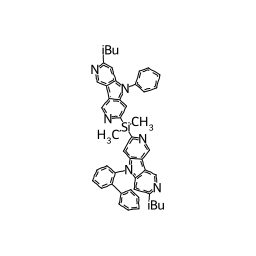 CCC(C)c1cc2c(cn1)c1cnc([Si](C)(C)c3cc4c(cn3)c3cnc(C(C)CC)cc3n4-c3ccccc3-c3ccccc3)cc1n2-c1ccccc1